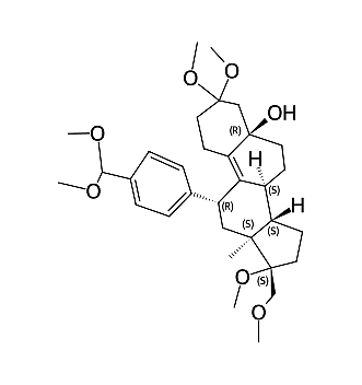 COC[C@]1(OC)CC[C@H]2[C@@H]3CC[C@@]4(O)CC(OC)(OC)CCC4=C3[C@@H](c3ccc(C(OC)OC)cc3)C[C@@]21C